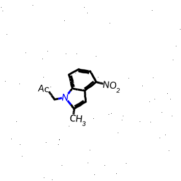 CC(=O)Cn1c(C)cc2c([N+](=O)[O-])cccc21